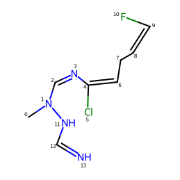 CN(/C=N\C(Cl)=C/C/C=C\F)NC=N